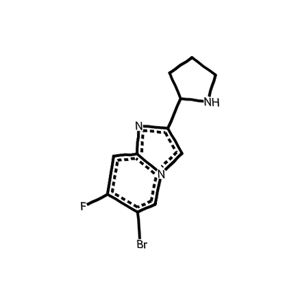 Fc1cc2nc(C3CCCN3)cn2cc1Br